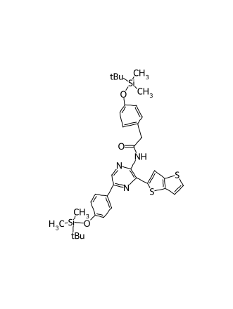 CC(C)(C)[Si](C)(C)Oc1ccc(CC(=O)Nc2ncc(-c3ccc(O[Si](C)(C)C(C)(C)C)cc3)nc2-c2cc3sccc3s2)cc1